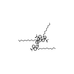 C=C(C)C(=O)OC(CCCCCCCCCCC)OCC(COC(CCCCCCCCCCC)OC(=O)C(=C)C)OC(CCCCCCCCCCC)OC(=O)C(=C)C